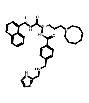 C[C@H](NC(=O)[C@H](CCCN1CCCCCCC1)NC(=O)c1ccc(CNCc2ncc[nH]2)cc1)c1cccc2ccccc12